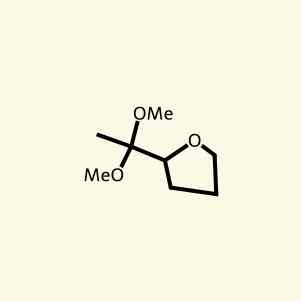 COC(C)(OC)C1CCCO1